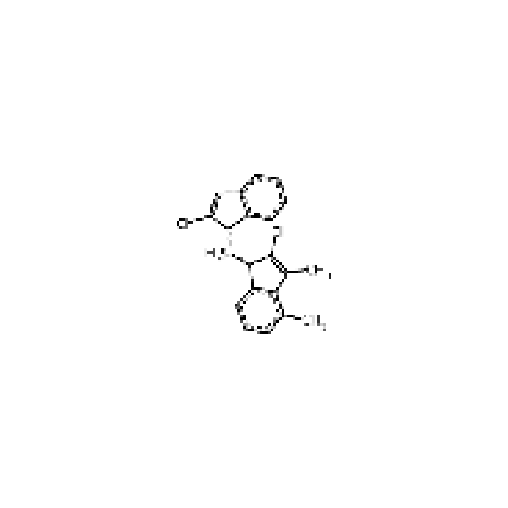 CC1=C(Cl)C([SiH2]C2C(Cl)=Cc3ccccc32)c2cccc(C)c21